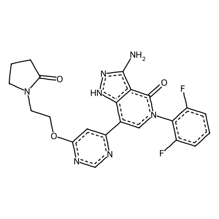 Nc1n[nH]c2c(-c3cc(OCCN4CCCC4=O)ncn3)cn(-c3c(F)cccc3F)c(=O)c12